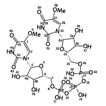 COc1cn([C@@H]2O[C@H](COP(=O)(O)OP(=O)(O)OP(=O)(O)OC[C@@H]3O[C@H](n4cc(OC)c(=O)[nH]c4=O)C(O)C3O)C(O)C2O)c(=O)[nH]c1=O